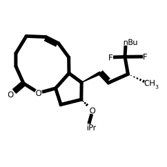 CCCCC(F)(F)[C@H](C)/C=C/[C@@H]1C2C/C=C\CCCC(=O)OC2C[C@H]1OC(C)C